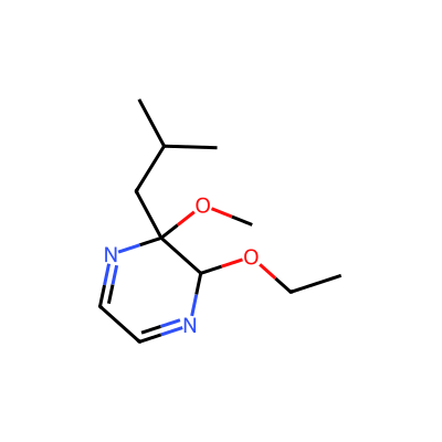 CCOC1N=CC=NC1(CC(C)C)OC